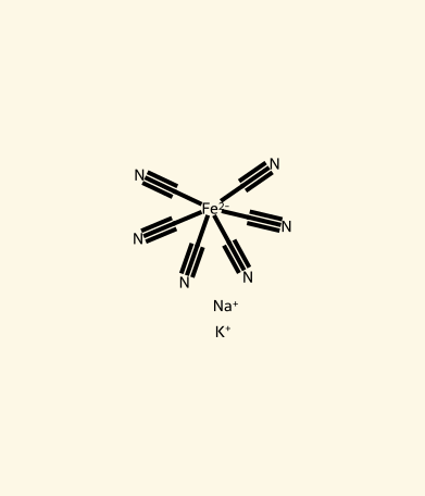 N#[C][Fe-2]([C]#N)([C]#N)([C]#N)([C]#N)[C]#N.[K+].[Na+]